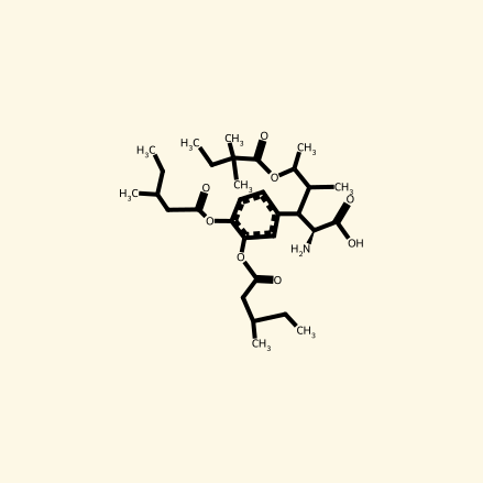 CCC(C)CC(=O)Oc1ccc(C(C(C)C(C)OC(=O)C(C)(C)CC)[C@H](N)C(=O)O)cc1OC(=O)CC(C)CC